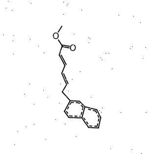 COC(=O)C=CC=CCc1ccc2ccccc2c1